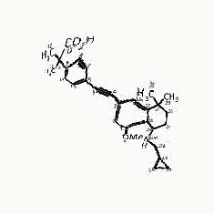 COc1cc(C#Cc2ccc(C(C)(C)C(=O)O)cc2)cc2c1C(NCC1CC1)CCC2(C)C